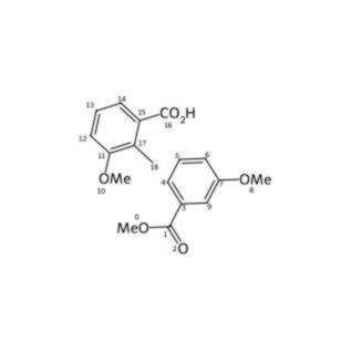 COC(=O)c1cccc(OC)c1.COc1cccc(C(=O)O)c1C